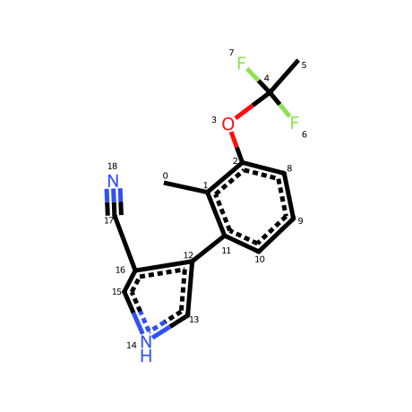 Cc1c(OC(C)(F)F)cccc1-c1c[nH]cc1C#N